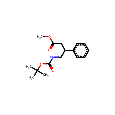 COC(=O)CC(CNC(=O)OC(C)(C)C)c1ccccc1